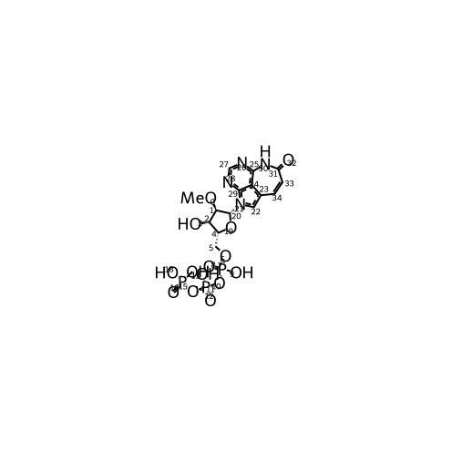 CO[C@@H]1[C@H](O)[C@@H](COP(=O)(O)OP(=O)(O)OP(=O)(O)O)O[C@H]1n1cc2c3c(ncnc31)NC(=O)C=C2